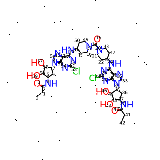 CCC(=O)N[C@H]1C[C@@H](n2cnc3c(NC4CCN(C(=O)N5CCC(Nc6nc(Cl)nc7c6ncn7[C@@H]6C[C@H](NC(=O)CC)[C@@H](O)[C@H]6O)CC5)CC4)nc(Cl)nc32)[C@H](O)[C@@H]1O